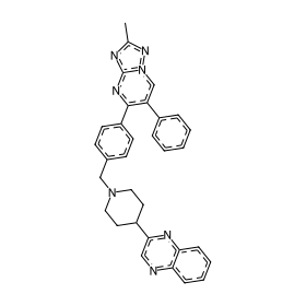 Cc1nc2nc(-c3ccc(CN4CCC(c5cnc6ccccc6n5)CC4)cc3)c(-c3ccccc3)cn2n1